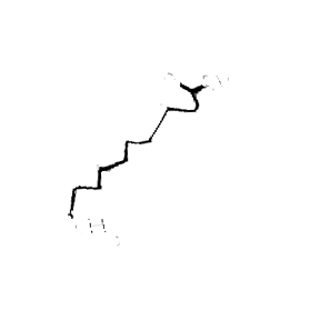 C/C=C\CCCCCCCC(C)=O